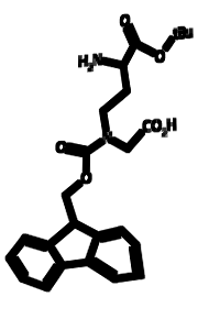 CC(C)(C)OC(=O)C(N)CCN(CC(=O)O)C(=O)OCC1c2ccccc2-c2ccccc21